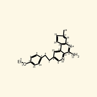 CCOc1ccc(CCc2cnc3c(N)nc4cc(C)ccc4c3c2)cc1